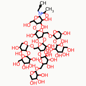 C#CCN(C(C)=O)[C@@H]1OC(CO)[C@@H](O[C@@H]2OC(CO[C@H]3OC[C@@H](O)[C@H](O)C3O[C@@H]3OC(CO)[C@H](O)[C@H](O)C3O)[C@@H](O[C@@H]3OC(CO[C@H]4OC[C@@H](O)C(O)C4O[C@@H]4OC(CO)[C@H](O)[C@H](O)C4O)[C@@H](O[C@@H]4OC(CO[C@H]5OC[C@@H](O)[C@H](O)C5O)[C@@H](O)[C@H](O)C4O)C(O)C3O)[C@H](O)C2O)C(O)C1O